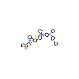 c1ccc(-c2ccc(N(c3ccccc3)c3ccc(-n4c5ccccc5c5c6sc7c(ccc8c7c7ccccc7n8-c7ccc8oc9ccccc9c8c7)c6ccc54)cc3)cc2)cc1